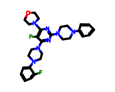 Fc1ccccc1N1CCN(c2nc(N3CCN(c4ccccc4)CC3)nc(N3CCOCC3)c2F)CC1